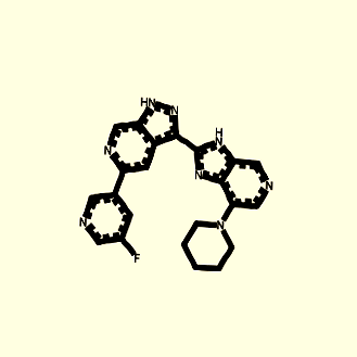 Fc1cncc(-c2cc3c(-c4nc5c(N6CCCCC6)cncc5[nH]4)n[nH]c3cn2)c1